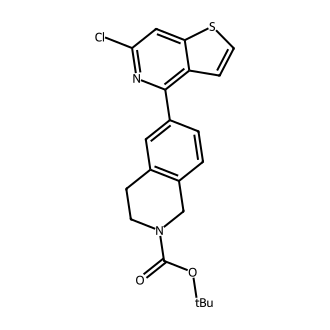 CC(C)(C)OC(=O)N1CCc2cc(-c3nc(Cl)cc4sccc34)ccc2C1